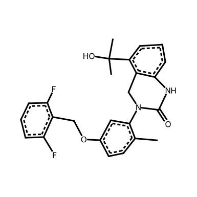 Cc1ccc(OCc2c(F)cccc2F)cc1N1Cc2c(cccc2C(C)(C)O)NC1=O